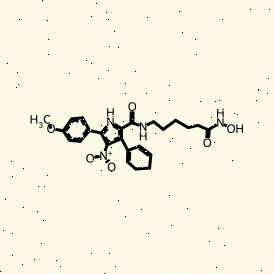 COc1ccc(-c2[nH]c(C(=O)NCCCCCC(=O)NO)c(C3=CCCC=C3)c2[N+](=O)[O-])cc1